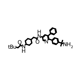 CC(C)(C)CC(=O)NC1CCC(CC(=O)Nc2cnc(-c3ccc(C(C)(C)N)cc3)c(-c3ccccc3)c2)CC1